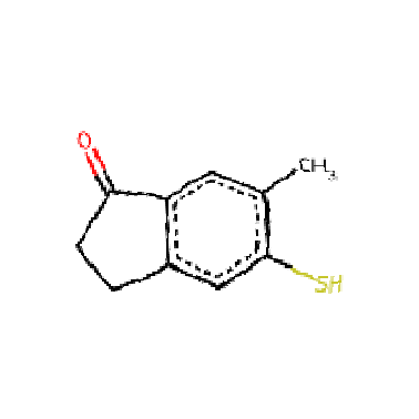 Cc1cc2c(cc1S)CCC2=O